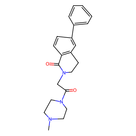 CN1CCN(C(=O)CN2CCc3cc(-c4ccccc4)ccc3C2=O)CC1